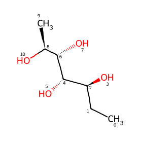 CC[C@H](O)[C@H](O)[C@@H](O)[C@H](C)O